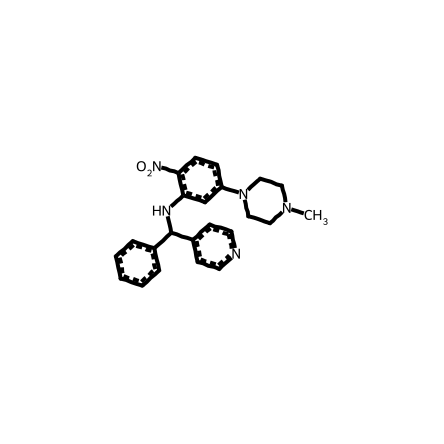 CN1CCN(c2ccc([N+](=O)[O-])c(NC(c3ccccc3)c3ccncc3)c2)CC1